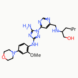 COc1cc(N2CCOCC2)ccc1Nc1nc(N)n(-c2cc(CNC(CO)CC(C)C)ncn2)n1